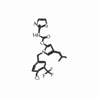 CC(C)Cc1cc(OC(=O)Nc2nccs2)n(Cc2ccc(Cl)c(C(F)(F)F)c2)c1